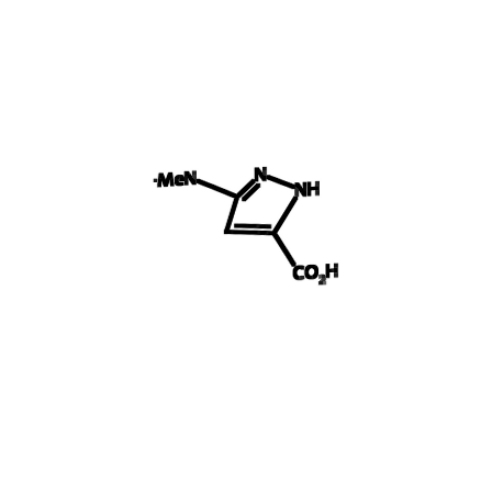 C[N]c1cc(C(=O)O)[nH]n1